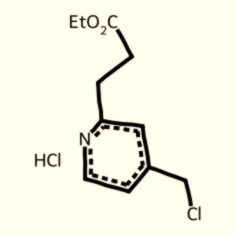 CCOC(=O)CCc1cc(CCl)ccn1.Cl